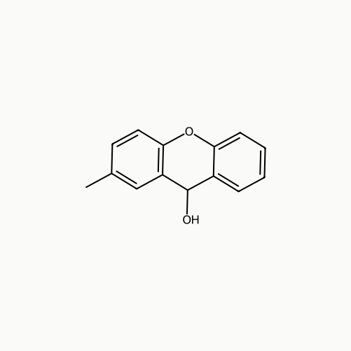 Cc1ccc2c(c1)C(O)c1ccccc1O2